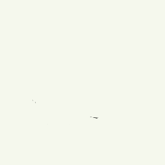 CC(N)OC1O[C@H](COCc2ccccc2)[C@@H](OCc2ccccc2)[C@H]1OCc1ccccc1